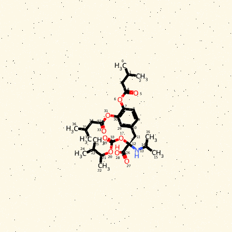 CC(C)CC(=O)Oc1ccc(C[C@](NC(C)C)(OC(=O)OC(C)C(C)C)C(=O)O)cc1OC(=O)CC(C)C